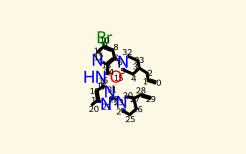 C=CCC1CCN(c2cc(Br)cnc2C(=O)Nc2cc(C)nc(N3CCCC(C=C)C3)n2)CC1